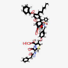 CCCCCCc1cc2c(-c3ccccc3S(=O)(=O)N(C)Cc3ccc(OCC4=C(C(=O)O)N5C(=O)[C@@H](NC(=O)Cc6ccccc6)[C@H]5SC4)cc3)c3cc(C)c(=O)cc-3oc2cc1OCc1ccccc1